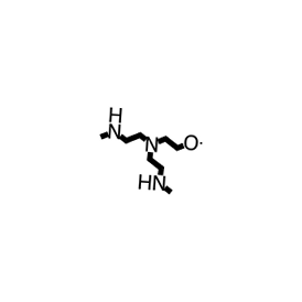 CNCCN(CC[O])CCNC